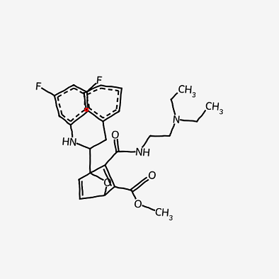 CCN(CC)CCNC(=O)C1=C(C(=O)OC)C2C=CC1(C(Cc1ccccc1)Nc1cc(F)cc(F)c1)O2